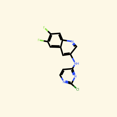 Fc1cc2cc(Nc3ccnc(Cl)n3)cnc2cc1F